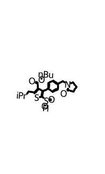 CCCCOC(=O)c1c(CC(C)C)sc([SH](=O)=O)c1-c1ccc(CN2CCCC2=O)cc1